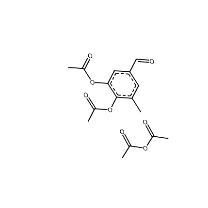 CC(=O)OC(C)=O.CC(=O)Oc1cc(C=O)cc(C)c1OC(C)=O